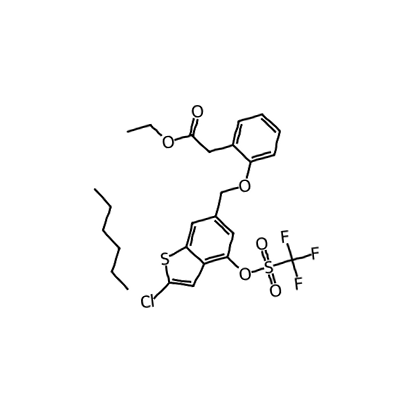 CCCCCC.CCOC(=O)Cc1ccccc1OCc1cc(OS(=O)(=O)C(F)(F)F)c2cc(Cl)sc2c1